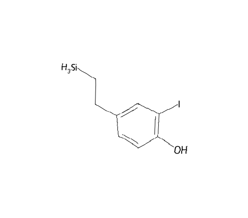 Oc1ccc(CC[SiH3])cc1I